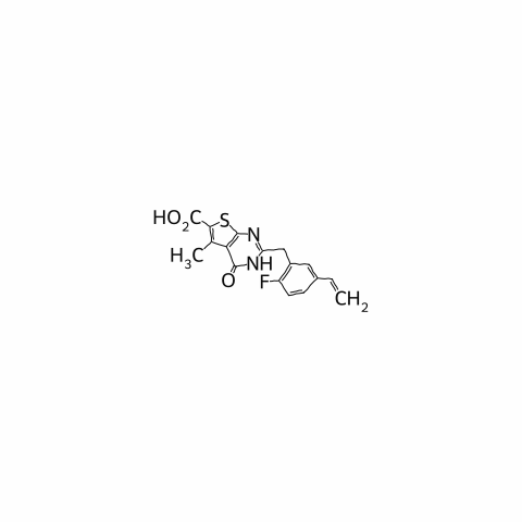 C=Cc1ccc(F)c(Cc2nc3sc(C(=O)O)c(C)c3c(=O)[nH]2)c1